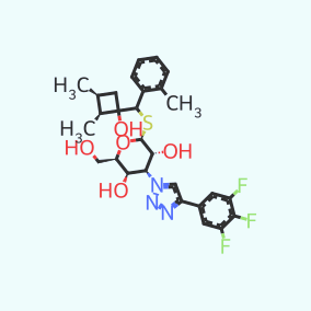 Cc1ccccc1C(S[C@@H]1O[C@H](CO)[C@H](O)[C@H](n2cc(-c3cc(F)c(F)c(F)c3)nn2)[C@H]1O)C1(O)C[C@H](C)[C@@H]1C